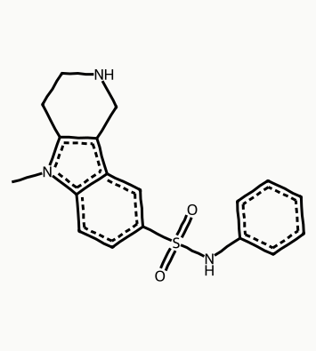 Cn1c2c(c3cc(S(=O)(=O)Nc4ccccc4)ccc31)CNCC2